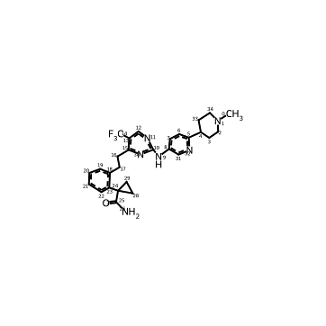 CN1CCC(c2ccc(Nc3ncc(C(F)(F)F)c(CCc4ccccc4C4(C(N)=O)CC4)n3)cn2)CC1